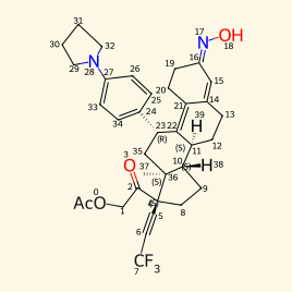 CC(=O)OCC(=O)[C@@]1(C#CC(F)(F)F)CC[C@H]2[C@@H]3CCC4=CC(=NO)CCC4=C3[C@@H](c3ccc(N4CCCC4)cc3)C[C@@]21C